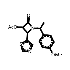 COc1ccc(C(C)N2C(=O)C(OC(C)=O)C2c2cncs2)cc1